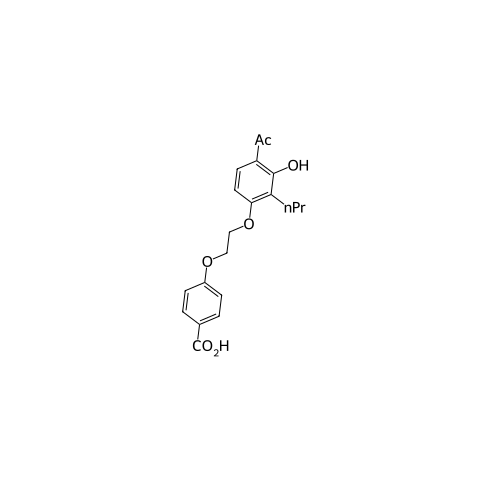 CCCc1c(OCCOc2ccc(C(=O)O)cc2)ccc(C(C)=O)c1O